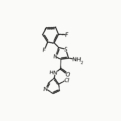 Nc1sc(-c2c(F)cccc2F)nc1C(=O)Nc1cnccc1Cl